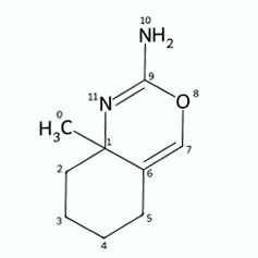 CC12CCCCC1=COC(N)=N2